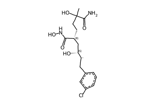 CC(O)(CC[C@H](C[C@@H](O)[CH]Cc1cccc(Cl)c1)C(=O)NO)C(N)=O